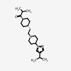 CC(C)c1cnn(C2CCN(CC[C@H]3CC[C@H](C(=O)C(C)C)CC3)CC2)c1